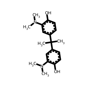 CN(C)c1cc(C(C)(C)c2ccc(O)c(N(C)C)c2)ccc1O